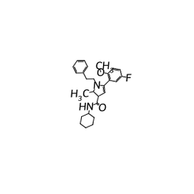 COc1ccc(F)cc1C1=CC(C(=O)NC2CCCCC2)C(C)N1CCc1ccccc1